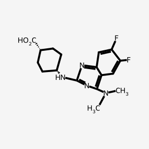 CN(C)c1nc(N[C@H]2CC[C@@H](C(=O)O)CC2)nc2cc(F)c(F)cc12